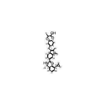 Cc1c(Cc2cccc(OC(C)C(=O)O)c2)c2ccc(C(=O)N[C@@H](C)c3cccc(C4CC4)c3)cc2n1C